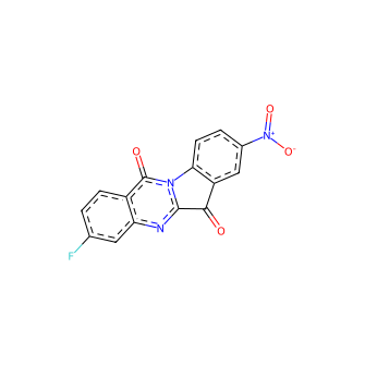 O=C1c2cc([N+](=O)[O-])ccc2-n2c1nc1cc(F)ccc1c2=O